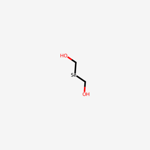 OC[Se]CO